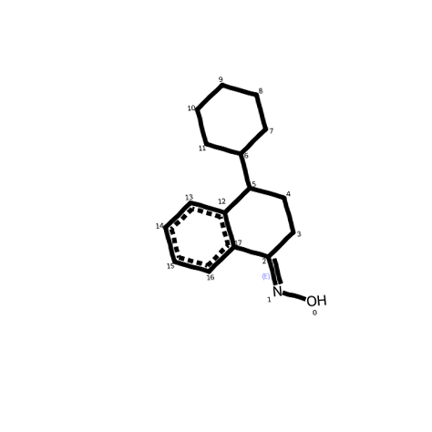 O/N=C1\CCC(C2CCCCC2)c2ccccc21